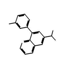 CCC(O)c1cc(-c2cccc(Cl)c2)c2ncccc2c1